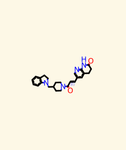 O=C1CCc2cc(/C=C/C(=O)N3CCC(CN4CCc5ccccc54)CC3)cnc2N1